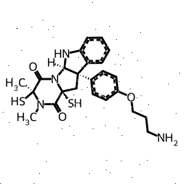 CN1C(=O)[C@@]2(S)C[C@]3(c4ccc(OCCCN)cc4)c4ccccc4N[C@@H]3N2C(=O)[C@]1(C)S